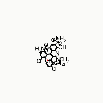 Cc1c(Cl)cccc1-c1c(N(C)C)nc2c(O)c(S(N)(=O)=O)cc(S(N)(=O)=O)c2c1-c1cccc(Cl)c1C